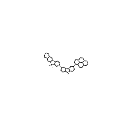 CC1(C)c2cc(-c3ccc4sc5ccc(-c6ccc7ccc8cccc9ccc6c7c89)cc5c4c3)ccc2-c2cc3ccccc3cc21